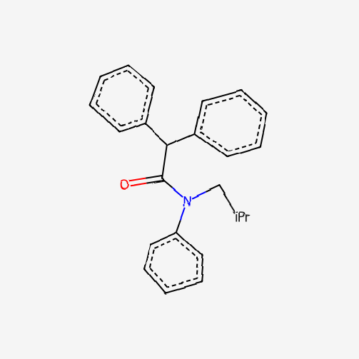 CC(C)CN(C(=O)C(c1ccccc1)c1ccccc1)c1ccccc1